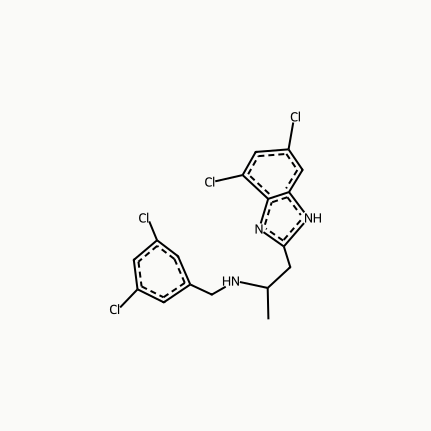 CC(Cc1nc2c(Cl)cc(Cl)cc2[nH]1)NCc1cc(Cl)cc(Cl)c1